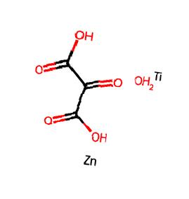 O.O=C(O)C(=O)C(=O)O.[Ti].[Zn]